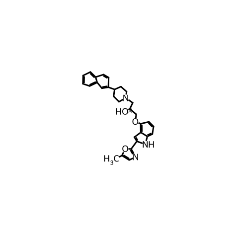 Cc1cnc(-c2cc3c(OC[C@@H](O)CN4CCC(c5ccc6ccccc6c5)CC4)cccc3[nH]2)o1